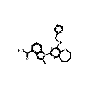 Cc1cc2c(C(N)=O)cccc2n1-c1nc2c(c(NCc3cccs3)n1)OCCCC2